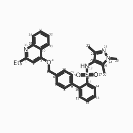 CCc1cc(OCc2ccc(-c3ccccc3S(=O)(=O)Nc3c(C)nn(C)c3C)cc2)c2ccccc2n1